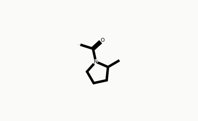 [CH2]C(=O)N1CCCC1C